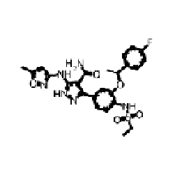 CCS(=O)(=O)Nc1ccc(-c2n[nH]c(Nc3cc(C)on3)c2C(N)=O)cc1O[C@@H](C)c1ccc(F)cc1